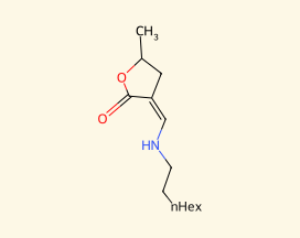 CCCCCCCCN/C=C1/CC(C)OC1=O